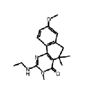 CCNc1nc2c(c(=O)n1C)C(C)(C)Cc1cc(OC)ccc1-2